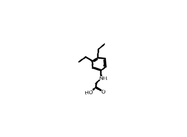 CCc1ccc(NCC(=O)O)cc1CC